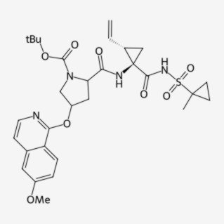 C=C[C@@H]1C[C@]1(NC(=O)C1CC(Oc2nccc3cc(OC)ccc23)CN1C(=O)OC(C)(C)C)C(=O)NS(=O)(=O)C1(C)CC1